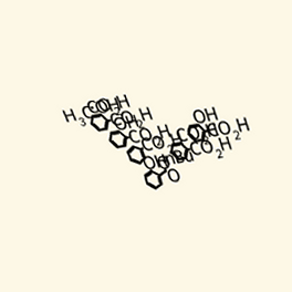 CC(=O)O.CCCCOC(=O)c1ccccc1O.O=C(O)c1ccccc1.O=C(O)c1ccccc1C(=O)O.O=C(O)c1ccccc1O.O=C(O)c1ccccc1O.O=C(O)c1ccccc1O